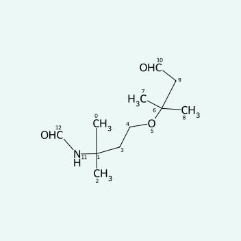 CC(C)(CCOC(C)(C)CC=O)NC=O